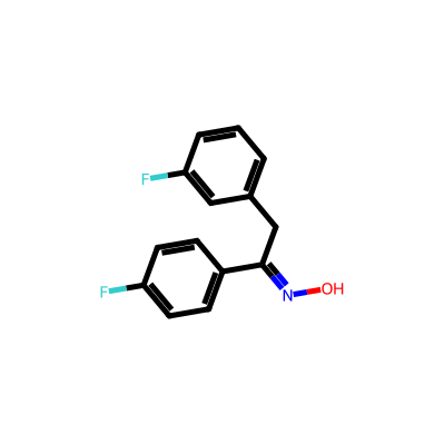 O/N=C(\Cc1cccc(F)c1)c1ccc(F)cc1